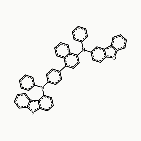 c1ccc(N(c2ccc3oc4ccccc4c3c2)c2ccc(-c3ccc(N(c4ccccc4)c4cccc5sc6ccccc6c45)cc3)c3ccccc23)cc1